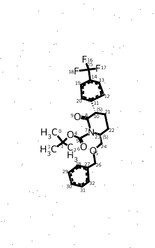 CC(C)(C)OC(=O)N1C(=O)[C@H](c2ccc(C(F)(F)F)cc2)CC[C@H]1COCc1ccccc1